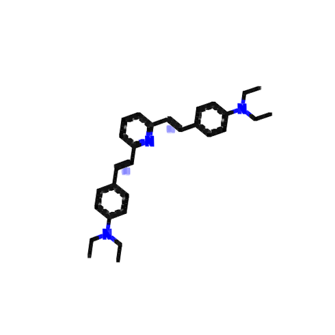 CCN(CC)c1ccc(/C=C/c2cccc(/C=C/c3ccc(N(CC)CC)cc3)n2)cc1